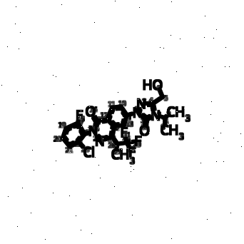 CC(C)n1c(CO)nn(-c2ccc3c(=O)n(-c4c(F)cccc4Cl)nc(C(C)C(F)(F)F)c3c2)c1=O